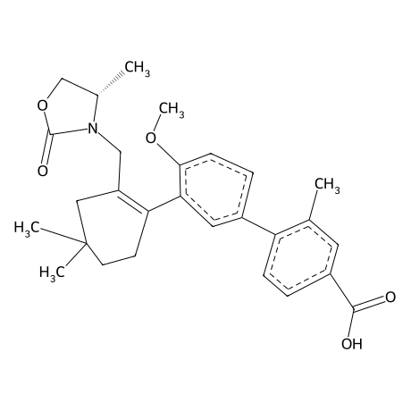 COc1ccc(-c2ccc(C(=O)O)cc2C)cc1C1=C(CN2C(=O)OC[C@@H]2C)CC(C)(C)CC1